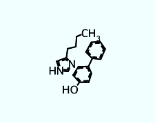 CCCCc1c[nH]cn1.Oc1ccc(-c2ccccc2)cc1